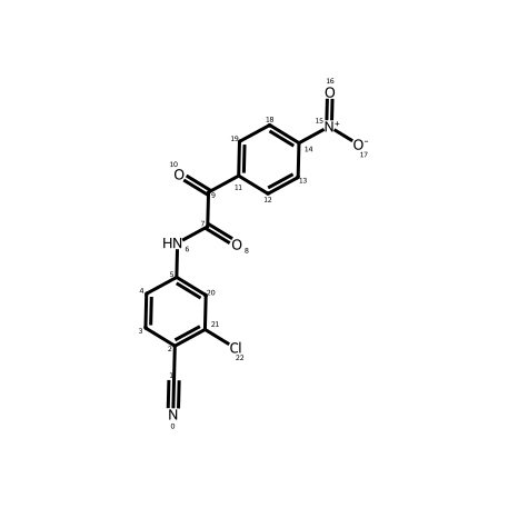 N#Cc1ccc(NC(=O)C(=O)c2ccc([N+](=O)[O-])cc2)cc1Cl